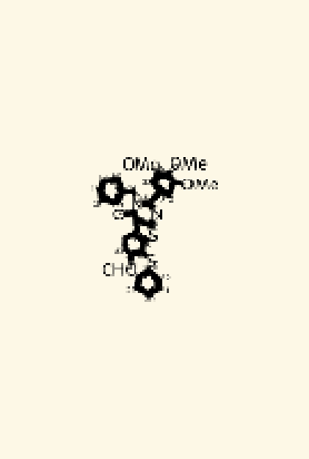 COc1cc(-c2nc3sc4c(c3c(=O)n2Cc2ccccc2)CCC(C=O)=C4Sc2ccccc2)cc(OC)c1OC